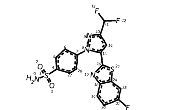 NS(=O)(=O)c1ccc(-n2nc(C(F)F)cc2-c2nc3ccc(F)cc3s2)cc1